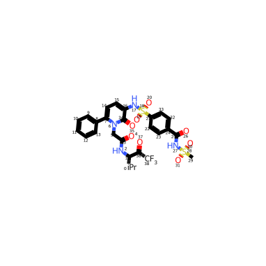 CC(C)C(NC(=O)Cn1c(-c2ccccc2)ccc(NS(=O)(=O)c2ccc(C(=O)NS(C)(=O)=O)cc2)c1=O)C(=O)C(F)(F)F